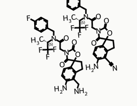 C[C@H](N(Cc1ccc(F)cc1)C(=O)CN1C(=O)OC2(CCc3c2ccc(N)c3C#N)C1=O)C(F)(F)F.C[C@H](N(Cc1ccc(F)cc1)C(=O)CN1C(=O)OC2(CCc3c2ccc(N)c3CN)C1=O)C(F)(F)F